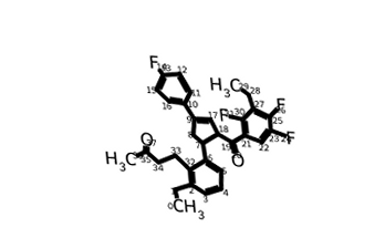 CCc1cccc(C2CC(c3ccc(F)cc3)=CC2C(=O)c2cc(F)c(F)c(CC)c2F)c1CCC(C)=O